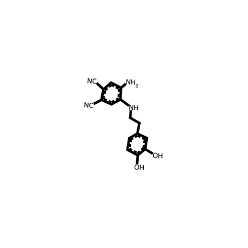 N#Cc1cc(N)c(NCCc2ccc(O)c(O)c2)cc1C#N